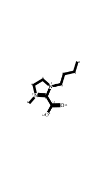 CCCCN1CC[N+](C)=C1C(=O)[O-]